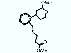 COC(=O)CCSCc1ccccc1C1CCOC(OC)C1